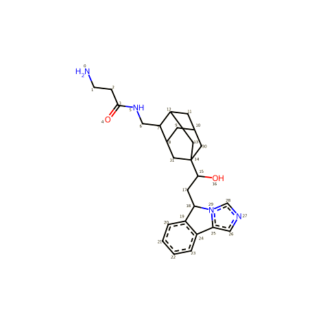 NCCC(=O)NCC1C2CC3CC1CC(C(O)CC1c4ccccc4-c4cncn41)(C3)C2